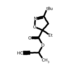 C#CC(C)OC(=O)C1(CC)CC(C(C)(C)C)=NO1